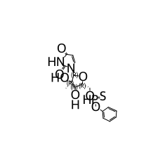 C[C@@]1(O)[C@H](O)[C@@H](CO[PH](=S)Oc2ccccc2)O[C@H]1n1ccc(=O)[nH]c1=O